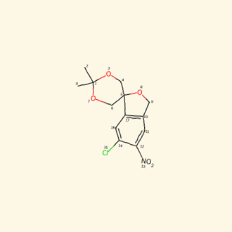 CC1(C)OCC2(CO1)OCc1cc([N+](=O)[O-])c(Cl)cc12